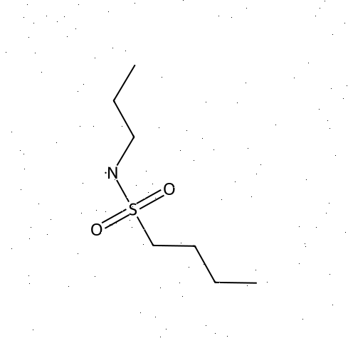 CCCCS(=O)(=O)[N]CCC